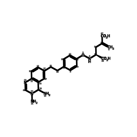 C=C(C[C@H](NOc1ccc(CCc2ccc3c(c2)C(N)N(N)C=N3)cc1)C(=O)O)C(=O)O